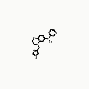 CCN(c1ccc2c(c1)N(Cc1c[nH]cn1)CCO2)c1cnccn1